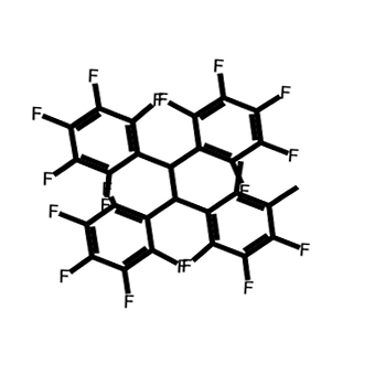 Cc1c(C)c(C(c2c(F)c(F)c(F)c(F)c2F)C(c2c(F)c(F)c(F)c(F)c2F)c2c(F)c(F)c(F)c(F)c2F)c(F)c(F)c1F